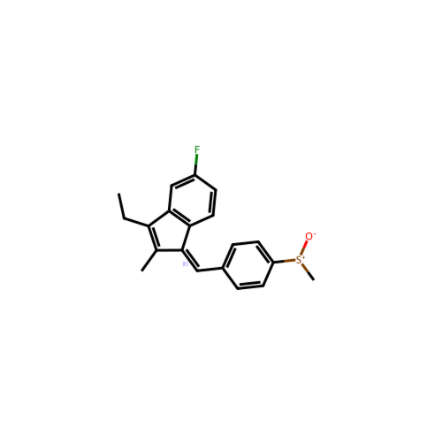 CCC1=C(C)/C(=C/c2ccc([S+](C)[O-])cc2)c2ccc(F)cc21